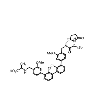 COc1cc(-c2nccc(-c3cccc(-c4ccc(CN(C[C@@H]5CCC(=O)N5)C(=O)OC(C)(C)C)c(OC)n4)c3Cl)c2Cl)ccc1CNC(C)C(=O)O